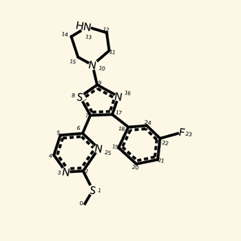 CSc1nccc(-c2sc(N3CCNCC3)nc2-c2cccc(F)c2)n1